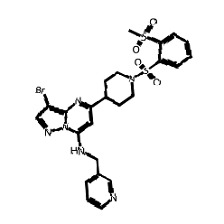 CS(=O)(=O)c1ccccc1S(=O)(=O)N1CCC(c2cc(NCc3cccnc3)n3ncc(Br)c3n2)CC1